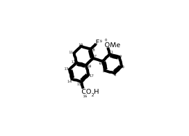 COc1ccccc1C1=C(F)CCc2ccc(C(=O)O)cc21